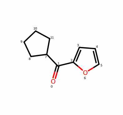 O=C(c1ccco1)C1CCCC1